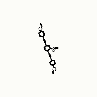 C=COc1ccc(C#Cc2ccc(C#Cc3ccc(OC=C)cc3)c(OC=C)c2)cc1